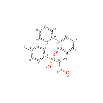 Cc1ccc(S(=O)(=O)C(C)C=O)cc1.c1ccc(-c2ccccc2)cc1